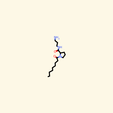 CCCCCCCCC(=O)N1CCCC1C(=O)NCCCN